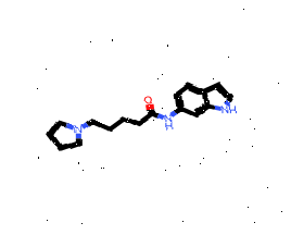 O=C(CCCCN1CCCC1)Nc1ccc2cc[nH]c2c1